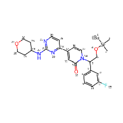 CC(C)(C)[Si](C)(C)OCC(c1cccc(F)c1)n1ccc(-c2ccnc(NC3CCOCC3)n2)cc1=O